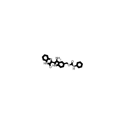 Nc1c(-c2nc3ccccc3[nH]c2=O)[nH]c2ccc(COC(=O)Nc3ccccc3)cc12